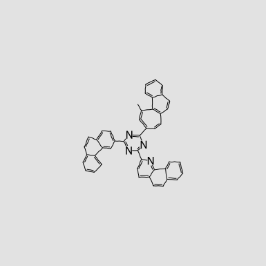 CC1=C=C(c2nc(-c3ccc4ccc5ccccc5c4c3)nc(-c3ccc4ccc5ccccc5c4n3)n2)C=Cc2ccc3ccccc3c21